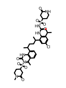 CC(C)c1cc(Cl)cc(C(C)CCC(C)c2cccc(C(C)C)c2NC(=O)NS(=O)(=O)C2CCN(C)C(=O)C2)c1NC(=O)NS(=O)(=O)C1CCNC(=O)C1